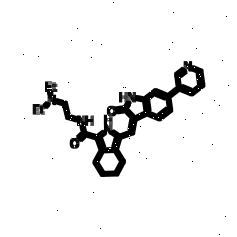 CCN(CC)CCNC(=O)c1[nH]c(/C=C2\C(=O)Nc3cc(-c4cccnc4)ccc32)c2c1CCCC2